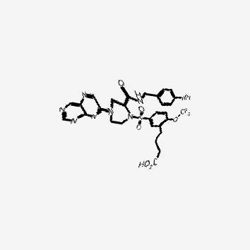 CCCc1ccc(CNC(=O)C2CN(c3cnc4cncnc4n3)CCN2S(=O)(=O)c2ccc(OC(F)(F)F)c(CCCC(=O)O)c2)cc1